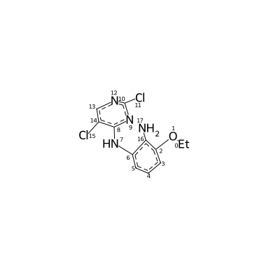 CCOc1cccc(Nc2nc(Cl)ncc2Cl)c1N